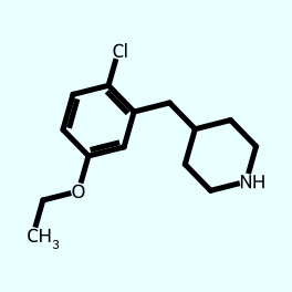 CCOc1ccc(Cl)c(CC2CCNCC2)c1